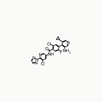 Nc1cncc(C2CC2)c1-c1cc(Cl)c(C(=O)Nc2cnc(-n3nccn3)c(Cl)c2)cc1F